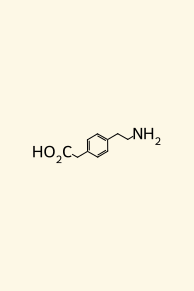 NCCc1ccc(CC(=O)O)cc1